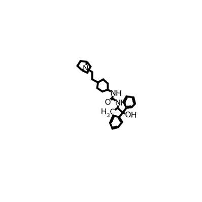 CC(NC(=O)NC1CCC(CCN2C3CCC2CC3)CC1)C(O)(c1ccccc1)c1ccccc1